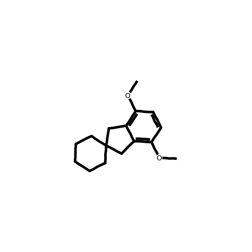 COc1ccc(OC)c2c1CC1(CCCCC1)C2